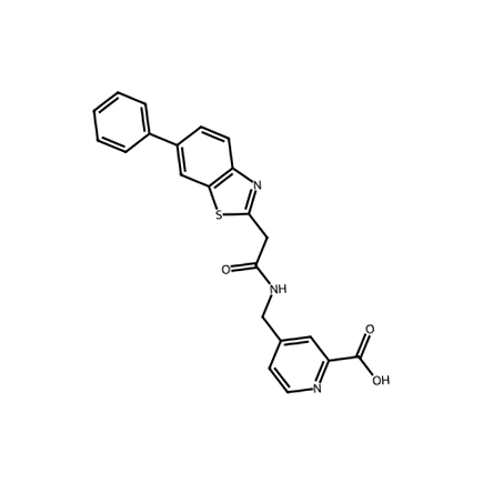 O=C(Cc1nc2ccc(-c3ccccc3)cc2s1)NCc1ccnc(C(=O)O)c1